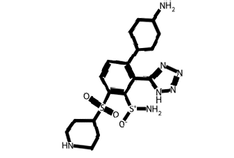 NC1CCC(c2ccc(S(=O)(=O)C3CCNCC3)c([S+](N)[O-])c2-c2nnn[nH]2)CC1